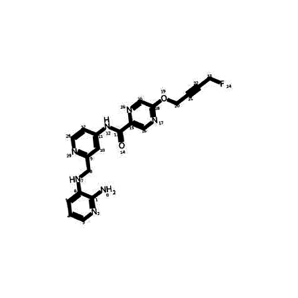 Nc1ncccc1NCc1cc(NC(=O)c2cnc(OCC#CCF)cn2)ccn1